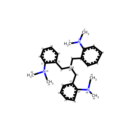 CN(C)c1ccccc1[CH2][Lu]([CH2]c1ccccc1N(C)C)[CH2]c1ccccc1N(C)C